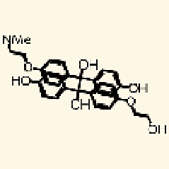 CNCCOc1ccc(C(O)(c2ccc(O)cc2)C(O)(c2ccc(O)cc2)c2ccc(OCCO)cc2)cc1